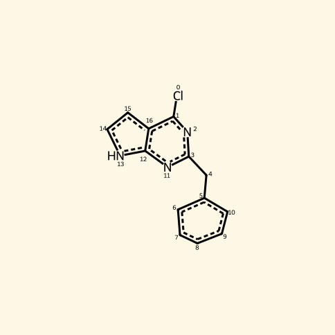 Clc1nc(Cc2ccccc2)nc2[nH]ccc12